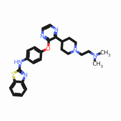 CN(C)CCN1CCC(c2nccnc2Oc2ccc(Nc3nc4ccccc4s3)cc2)CC1